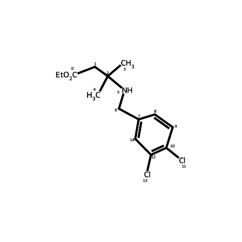 CCOC(=O)CC(C)(C)NCc1ccc(Cl)c(Cl)c1